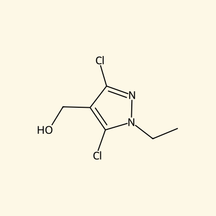 CCn1nc(Cl)c(CO)c1Cl